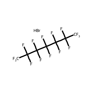 Br.FC(F)(F)C(F)(F)C(F)(F)C(F)(F)C(F)(F)C(F)(F)C(F)(F)F